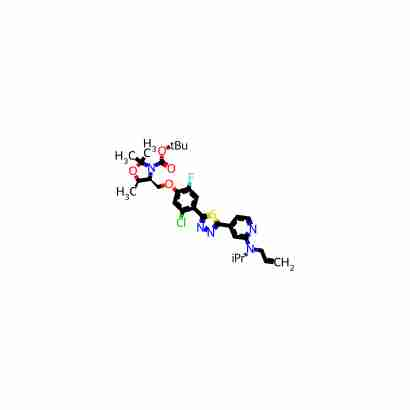 C=CCN(c1cc(-c2nnc(-c3cc(F)c(OC[C@H]4[C@@H](C)OC(C)(C)N4C(=O)OC(C)(C)C)cc3Cl)s2)ccn1)C(C)C